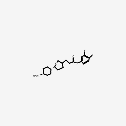 CCCCC[C@H]1CC[C@H](C2CCC(CCC(=O)Oc3ccc(F)c(F)c3)CC2)CC1